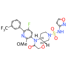 COc1nc(-c2cccc(C(F)(F)F)c2)c(F)cc1N1C(=O)CO[C@H]2CN(S(=O)(=O)Nc3ccon3)CC[C@@H]21